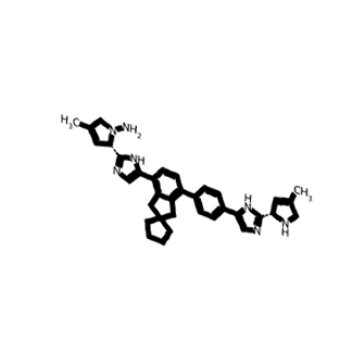 CC1=C[C@@H](c2ncc(-c3ccc(-c4ccc(-c5cnc([C@@H]6C=C(C)CN6N)[nH]5)c5c4CC4(CCCC4)C5)cc3)[nH]2)NC1